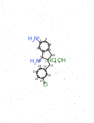 Cl.Cl.Nc1ccc2c(c1)C(N)C(Cc1cccc(Cl)c1)C2